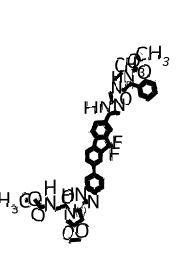 CCCN(Cc1ncc(-c2ccc3c(c2)C(F)(F)c2cc(-c4ccc5nc([C@@H]6CC7(CN6C(=O)CNC(=O)OC)OCCO7)[nH]c5c4)ccc2-3)[nH]1)C(=O)[C@H](NC(=O)OC)c1ccccc1